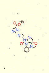 Cn1c(C(=O)OC(C)(C)C)cnc1CN1CCC(n2c(=O)n(-c3ccccc3N3CCOCC3)c3cccnc32)C1